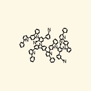 N#Cc1cccc(-c2cc(-n3c4ccccc4c4cc(-c5cccc(-c6ccccc6)n5)ccc43)c(C#N)c(-n3c4ccc(-c5cccc(-c6ccccc6)n5)cc4c4cc(-c5ccc(-c6ccccc6)nc5-c5ccc6c7ccccc7n(-c7cc(-c8cccc(C#N)c8)cc(-n8c9ccccc9c9ccc(-c%10cccc(-c%11ccccc%11)n%10)cc98)c7C#N)c6c5)ccc43)c2)c1